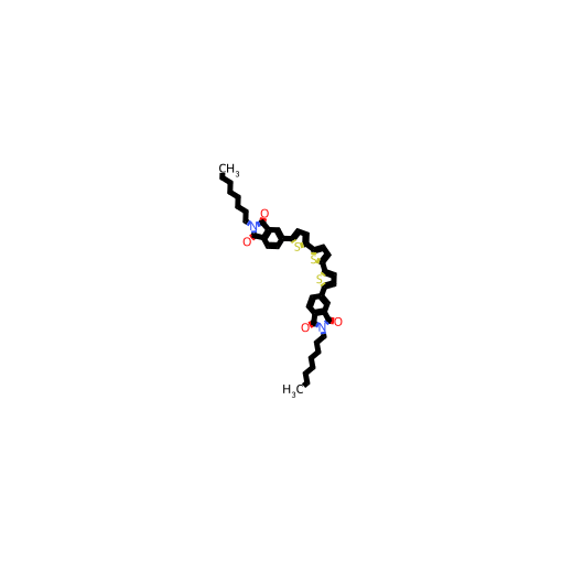 CCCCCCCCN1C(=O)c2ccc(-c3ccc(-c4ccc(-c5ccc(-c6ccc7c(c6)C(=O)N(CCCCCCCC)C7=O)s5)s4)s3)cc2C1=O